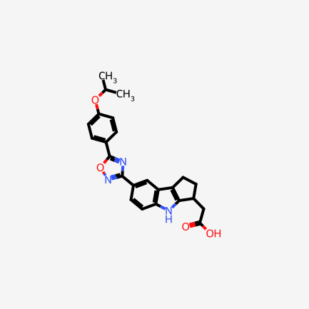 CC(C)Oc1ccc(-c2nc(-c3ccc4[nH]c5c(c4c3)CCC5CC(=O)O)no2)cc1